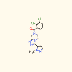 Cn1nccc1-c1nnc2n1CCN(C(=O)c1cccc(Cl)c1Cl)C2